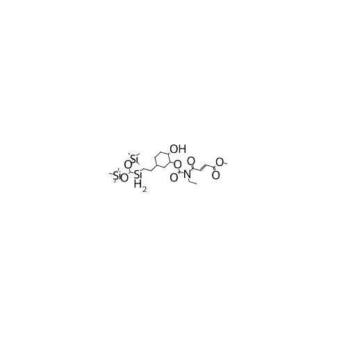 CCN(C(=O)C=CC(=O)OC)C(=O)OC1CC(CC[SiH2]C(O[Si](C)(C)C)O[Si](C)(C)C)CCC1O